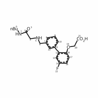 CCCCNC(=O)CNCc1cccc(-c2cc(F)ccc2OCC(=O)O)c1